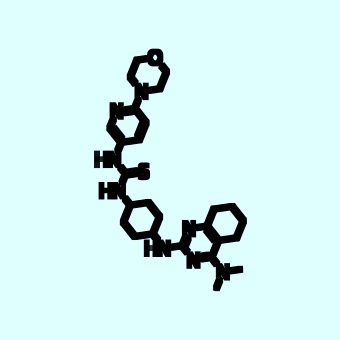 CN(C)c1nc(NC2CCC(NC(=S)Nc3ccc(N4CCOCC4)nc3)CC2)nc2c1CCCC2